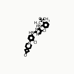 CP(C)(=O)c1ccccc1Nc1nc(Nc2ccc(N3CCC4(CC3)CC(=O)C4)c(Cl)c2)ncc1Cl